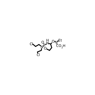 CCN(OC1CCOP(=O)(N(CCCl)CCCl)N1)C(=O)O